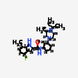 Cc1ccc(F)c2c1NC(C(=O)Nc1cccc(N3CCN(C(C)C)C(C)C3)c1)C2